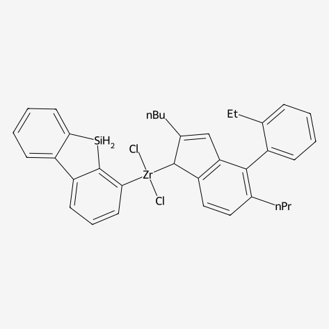 CCCCC1=Cc2c(ccc(CCC)c2-c2ccccc2CC)[CH]1[Zr]([Cl])([Cl])[c]1cccc2c1[SiH2]c1ccccc1-2